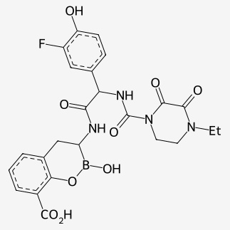 CCN1CCN(C(=O)NC(C(=O)NC2Cc3cccc(C(=O)O)c3OB2O)c2ccc(O)c(F)c2)C(=O)C1=O